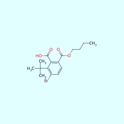 CCCCOC(=O)c1ccc(Br)c(C(C)(C)C)c1C(=O)O